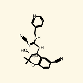 CC1(C)Oc2ccc(C#N)cc2[C@H](NC(=NC#N)NCc2cccnc2)[C@H]1O